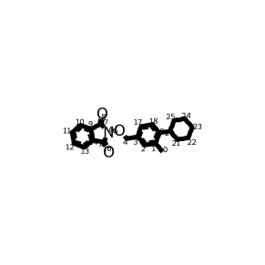 Cc1cc(CON2C(=O)c3ccccc3C2=O)ccc1C1CCCCC1